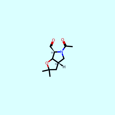 CC(=O)N1C[C@@H]2CC(C)(C)OC2[C@H]1C=O